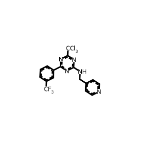 FC(F)(F)c1cccc(-c2nc(NCc3ccncc3)nc(C(Cl)(Cl)Cl)n2)c1